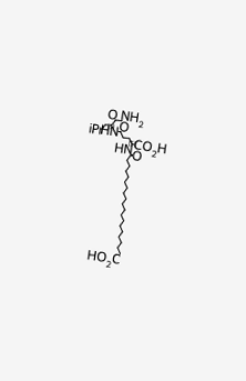 CC(C)C[C@H](NC(=O)CC[C@H](NC(=O)CCCCCCCCCCCCCCCCCCC(=O)O)C(=O)O)C(=O)CN